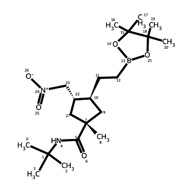 CC(C)(C)NC(=O)[C@@]1(C)C[C@H](CCB2OC(C)(C)C(C)(C)O2)[C@@H](C[N+](=O)[O-])C1